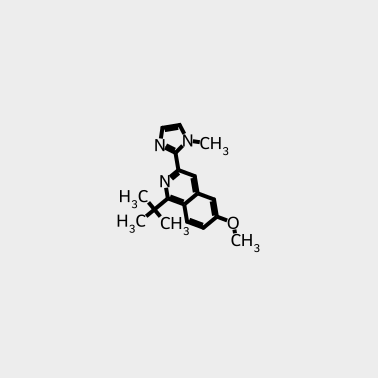 COc1ccc2c(C(C)(C)C)nc(-c3nccn3C)cc2c1